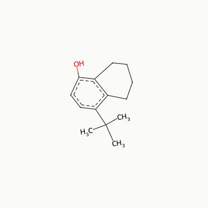 CC(C)(C)c1ccc(O)c2c1CCCC2